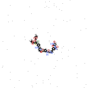 Cn1c(=O)n(C2CCC(=O)NC2=O)c2ccc(-c3cnn(CC(=O)Nc4cccc(CS(=O)(=O)N5CC[C@H](Nc6cccc(-c7sc(C(=O)OC(C)(C)C)c(OCC(=O)OC(C)(C)C)c7Cl)c6)CC5(C)C)c4)c3)cc21